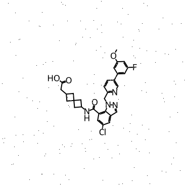 COc1cc(F)cc(-c2ccc(Cn3ncc4cc(Cl)cc(C(=O)NC5CC6(CC(CC(=O)O)C6)C5)c43)nc2)c1